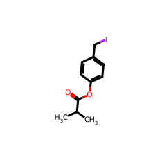 CC(C)C(=O)Oc1ccc(CI)cc1